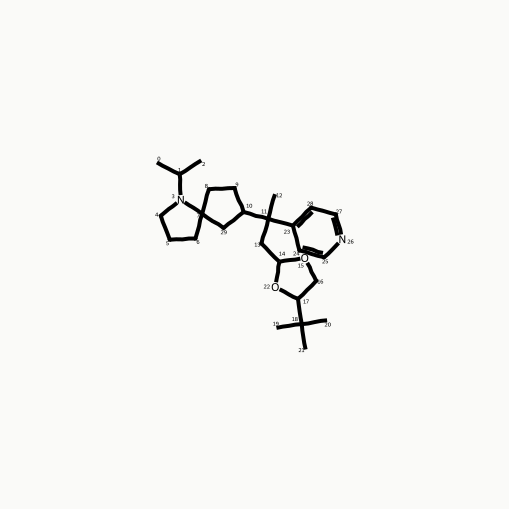 CC(C)N1CCCC12CCC(C(C)(CC1OCC(C(C)(C)C)O1)c1ccncc1)C2